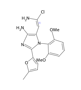 COc1cccc(OC)c1-n1c(-c2ccc(C)o2)nc(N)c1/C=C(\N)Cl